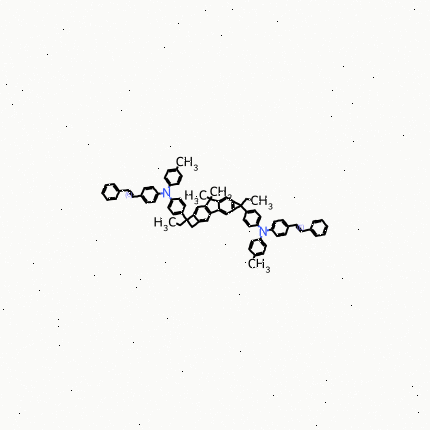 CCC1(c2ccc(N(c3ccc(C)cc3)c3ccc(/C=C/c4ccccc4)cc3)cc2)Cc2cc3c(cc21)C(C)(C)c1cc2c(cc1-3)C2(CC)c1ccc(N(c2ccc(C)cc2)c2ccc(/C=C/c3ccccc3)cc2)cc1